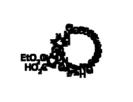 CCOC(=O)c1ccc(C(=O)N2C(=O)Nc3cc(ccc3C)NC(=O)OCCCCCCCCCOC(=O)Nc3ccc(C)c2c3)cc1C(=O)O